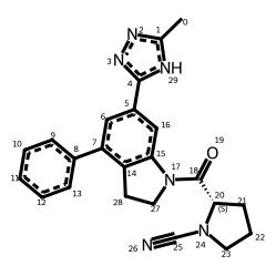 Cc1nnc(-c2cc(-c3ccccc3)c3c(c2)N(C(=O)[C@@H]2CCCN2C#N)CC3)[nH]1